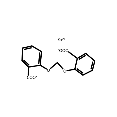 O=C([O-])c1ccccc1OCOc1ccccc1C(=O)[O-].[Zn+2]